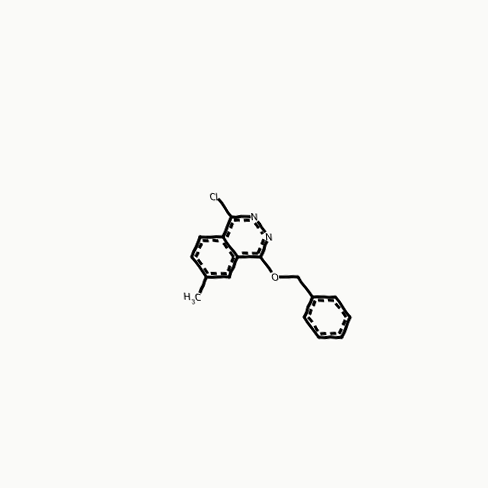 Cc1ccc2c(Cl)nnc(OCc3ccccc3)c2c1